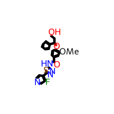 COc1cc(C(=O)Nc2nnc(-c3ccncc3F)s2)ccc1OC(CCO)c1ccccc1